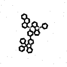 C1=CC(N(c2ccc(-c3ccc4c(c3)C(c3ccccc3)(c3ccccc3)c3ccccc3-4)cc2)c2cccc3c2c2ccccc2n3-c2ccccc2)=C2C=Cc3ccccc3C2C1